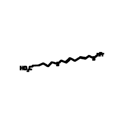 CCCSCC=CCC=CCSCCCCCC(=O)O